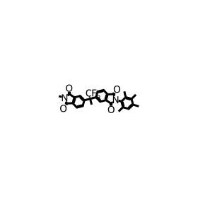 Cc1cc(C)c(N2C(=O)c3ccc([C@@](C)(c4ccc5c(c4)C(=O)N(C)C5=O)C(F)(F)F)cc3C2=O)c(C)c1C